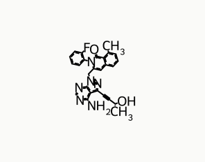 Cc1cccc2cc(Cn3nc(C#C[C@@H](C)O)c4c(N)ncnc43)n(-c3ccccc3F)c(=O)c12